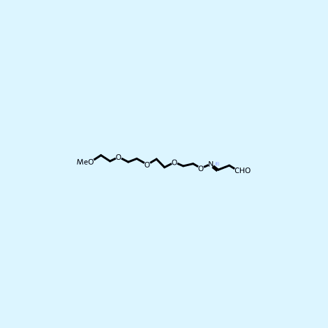 COCCOCCOCCOCCO/N=C/CC=O